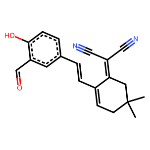 CC1(C)CC=C(C=Cc2ccc(O)c(C=O)c2)C(=C(C#N)C#N)C1